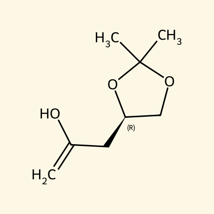 C=C(O)C[C@@H]1COC(C)(C)O1